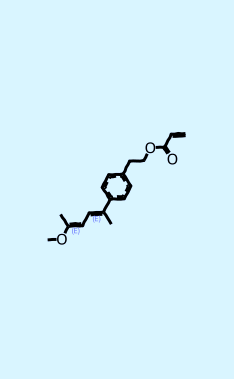 C=CC(=O)OCCc1ccc(/C(C)=C/C=C(\C)OC)cc1